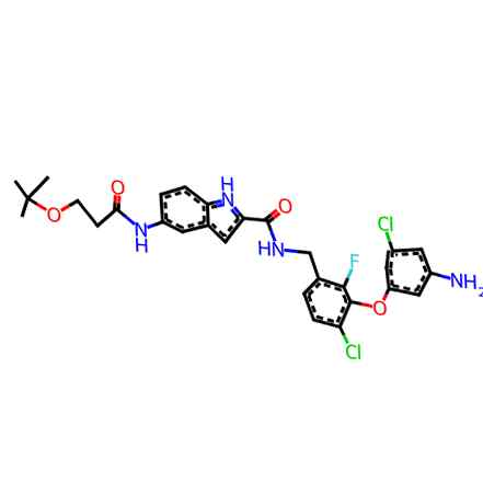 CC(C)(C)OCCC(=O)Nc1ccc2[nH]c(C(=O)NCc3ccc(Cl)c(Oc4cc(N)cc(Cl)c4)c3F)cc2c1